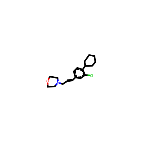 Clc1cc(C=CCN2CCOCC2)ccc1C1CCCCC1